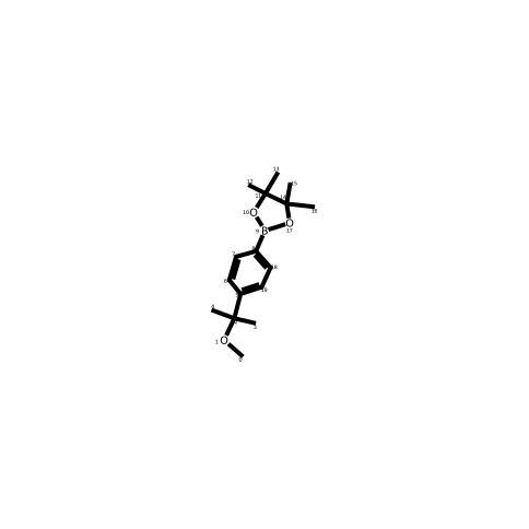 COC(C)(C)c1ccc(B2OC(C)(C)C(C)(C)O2)cc1